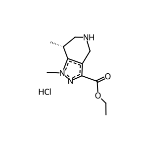 CCOC(=O)c1nn(C)c2c1CNC[C@H]2C.Cl